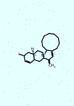 C=C(/C=C1/CCCCCCCCC1CC)C1CC[C@H]2CC(I)C=CC2C1